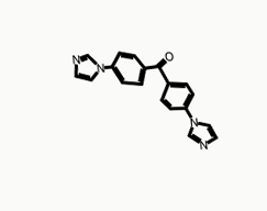 O=C(c1ccc(-n2ccnc2)cc1)c1ccc(-n2ccnc2)cc1